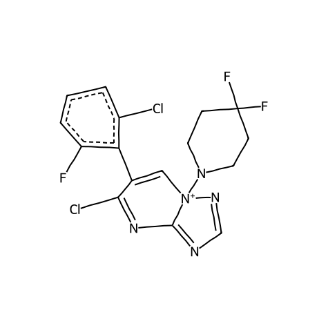 Fc1cccc(Cl)c1C1=C[N+]2(N3CCC(F)(F)CC3)N=CN=C2N=C1Cl